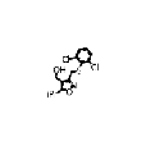 CC(C)c1onc(CSc2c(Cl)cccc2Cl)c1CO